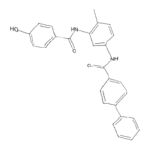 Cc1ccc(NC(=O)c2ccc(-c3ccccc3)cc2)cc1NC(=O)c1ccc(O)cc1